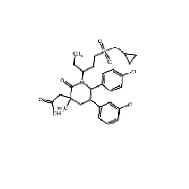 CCC(CCS(=O)(=O)CC1CC1)N1C(=O)C(C)(CC(=O)O)CC(c2cccc(Cl)c2)C1c1ccc(Cl)cc1